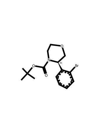 CC(C)(C)OC(=O)N1CCOC[C@H]1c1ccccc1Br